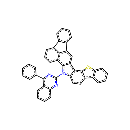 c1ccc(-c2nc(-n3c4ccc5c6ccccc6sc5c4c4cc5c6c(cccc6c43)-c3ccccc3-5)nc3ccccc23)cc1